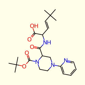 CC(C)(C)C=CC(NC(=O)C1CN(c2ccccn2)CCN1C(=O)OC(C)(C)C)C(=O)O